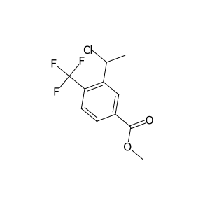 COC(=O)c1ccc(C(F)(F)F)c(C(C)Cl)c1